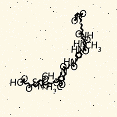 COc1cc2c(cc1OCCCOc1nc3cc(C(=O)CCC(=O)O)sc3cc1OC)CN(C(=O)CCC(=O)NCc1ccc(NC(=O)[C@H](C)NC(=O)CNC(=O)CCCCCN3C(=O)C=CC3=O)cc1)C2